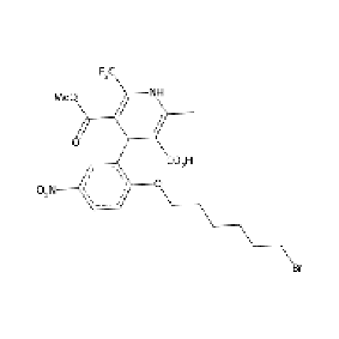 COC(=O)C1=C(C(F)(F)F)NC(C)=C(C(=O)O)C1c1cc([N+](=O)[O-])ccc1OCCCCCCBr